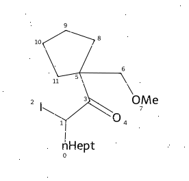 CCCCCCCC(I)C(=O)C1(COC)CCCC1